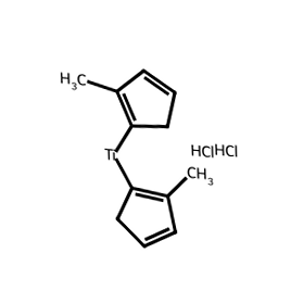 CC1=[C]([Ti][C]2=C(C)C=CC2)CC=C1.Cl.Cl